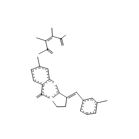 Cc1cccc(C=C2CCn3c2nc2cc(NC(=O)/C(Cl)=C(/Cl)C(=O)O)ccc2c3=O)c1